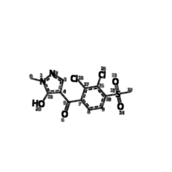 Cn1ncc(C(=O)c2ccc(S(C)(=O)=O)c(Cl)c2Cl)c1O